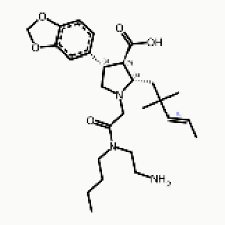 C/C=C/C(C)(C)C[C@H]1[C@H](C(=O)O)[C@@H](c2ccc3c(c2)OCO3)CN1CC(=O)N(CCN)CCCC